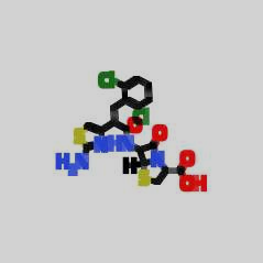 Nc1nc(/C(=C/c2c(Cl)cccc2Cl)C(=O)NC2C(=O)N3C(C(=O)O)CS[C@H]23)cs1